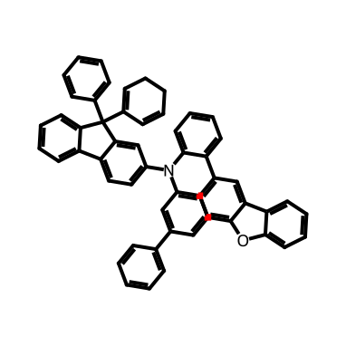 C1=CC(C2(c3ccccc3)c3ccccc3-c3ccc(N(c4cccc(-c5ccccc5)c4)c4ccccc4-c4ccc5oc6ccccc6c5c4)cc32)=CCC1